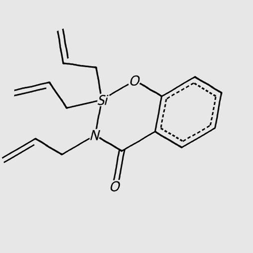 C=CCN1C(=O)c2ccccc2O[Si]1(CC=C)CC=C